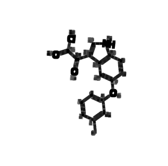 Cc1cccc(Oc2ccc3[nH]cc(C(=O)C(=O)Cl)c3c2)c1